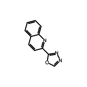 c1ccc2nc(-c3nnco3)ccc2c1